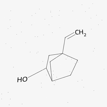 C=CC12CCC(C1)C(O)C2